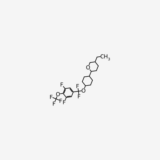 CCC1CCC(C2CCC(OC(F)(F)c3cc(F)c(OC(F)(F)F)c(F)c3)CC2)OC1